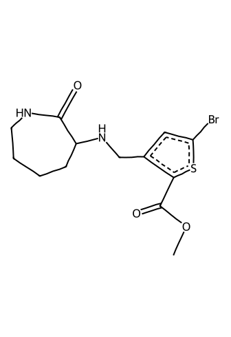 COC(=O)c1sc(Br)cc1CNC1CCCCNC1=O